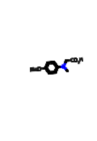 COc1ccc(N(C)CC(=O)O)cc1